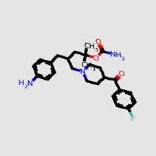 CC(C)(CC(Cc1ccc(N)cc1)CN1CCC(C(=O)c2ccc(F)cc2)CC1)OC(N)=O